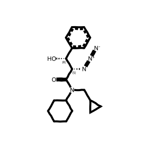 [N-]=[N+]=N[C@H](C(=O)N(CC1CC1)C1CCCCC1)[C@H](O)c1ccccc1